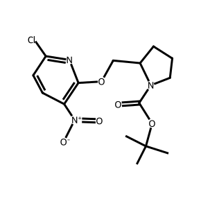 CC(C)(C)OC(=O)N1CCCC1COc1nc(Cl)ccc1[N+](=O)[O-]